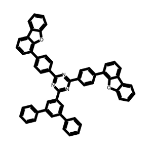 c1ccc(-c2cc(-c3ccccc3)cc(-c3nc(-c4ccc(-c5cccc6c5oc5ccccc56)cc4)nc(-c4ccc(-c5cccc6c5oc5ccccc56)cc4)n3)c2)cc1